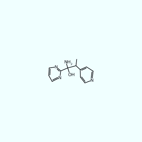 CC(c1ccncc1)C(N)(O)c1ncccn1